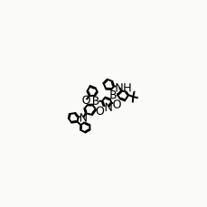 CC(C)(C)c1cc2c3c(c1)Oc1nc4c(cc1B3c1ccccc1N2)B1c2ccccc2Oc2cc(-n3c5ccccc5c5ccccc53)cc(c21)O4